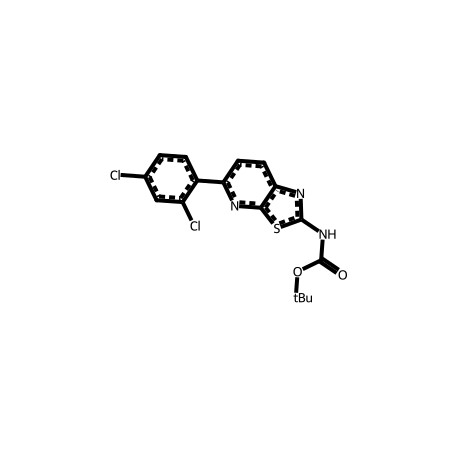 CC(C)(C)OC(=O)Nc1nc2ccc(-c3ccc(Cl)cc3Cl)nc2s1